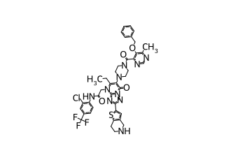 CCc1c(N2CCN(C(=O)c3ncnc(C)c3OCc3ccccc3)CC2)c(=O)n2nc(-c3cc4c(s3)CCNC4)nc2n1CC(=O)Nc1ccc(C(F)(F)F)cc1Cl